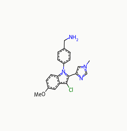 COc1ccc2c(c1)c(Cl)c(-c1cn(C)cn1)n2-c1ccc(CN)cc1